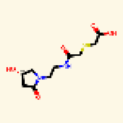 O=C(O)CSCC(=O)NCCN1C[C@@H](O)CC1=O